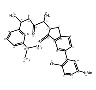 CNc1ncc(Cl)c(-c2ccc3c(c2)C(=O)N(C(C)C(=O)NC(C)c2cccc(N(C)C)n2)C3)n1